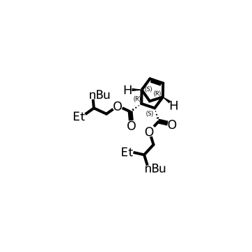 CCCCC(CC)COC(=O)[C@@H]1[C@H](C(=O)OCC(CC)CCCC)[C@@H]2C=C[C@H]1C2